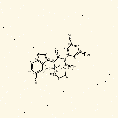 C=CN(C(=O)C(c1csc2ccc(Cl)cc12)P1(=O)OCCCO1)c1cc(F)cc(F)c1